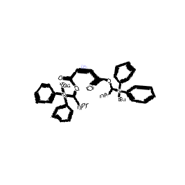 CCCC(OC(=O)/C=C\C(=O)OC(CCC)[Si](c1ccccc1)(c1ccccc1)C(C)(C)C)[Si](c1ccccc1)(c1ccccc1)C(C)(C)C